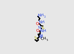 Cn1nc(C(=O)NC2=NC(C(=O)NCCCN)CS2)cc1C1CC=CS1